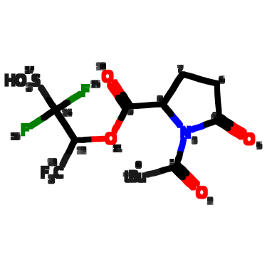 CC(C)(C)C(=O)N1C(=O)CCC1C(=O)OC(C(F)(F)F)C(F)(F)S(=O)(=O)O